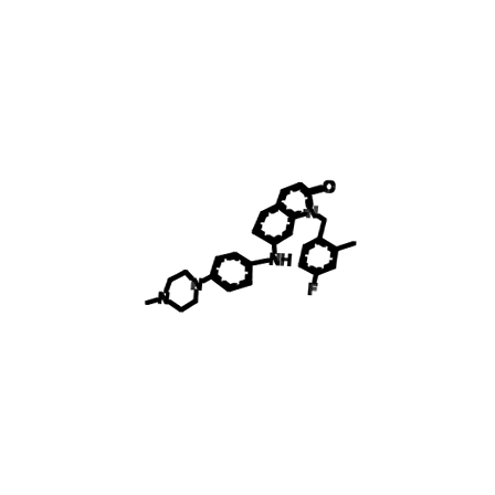 Cc1cc(F)ccc1Cn1c(=O)ccc2ccc(Nc3ccc(N4CCN(C)CC4)cc3)cc21